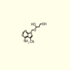 N#Cc1cn(COC(O)CCO)c2ncnc(N)c12